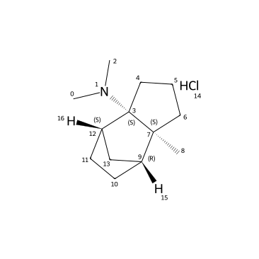 CN(C)[C@]12CCC[C@@]1(C)[C@@H]1CC[C@H]2C1.Cl